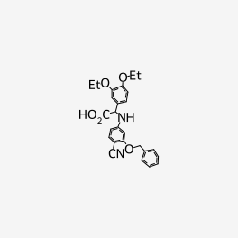 CCOc1ccc(C(Nc2ccc(C#N)c(OCc3ccccc3)c2)C(=O)O)cc1OCC